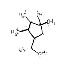 CC(=O)O[C@@H](C)C1CC(C)(C)C(C)C1C